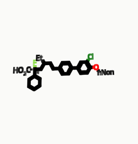 CCCCCCCCCOc1ccc(-c2ccc(CCC(CC)C[C@@](F)(C(=O)O)C3CCCCC3)cc2)cc1Cl